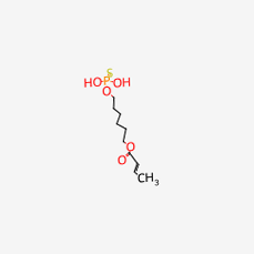 CC=CC(=O)OCCCCCCOP(O)(O)=S